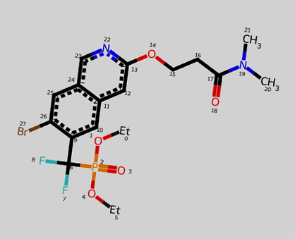 CCOP(=O)(OCC)C(F)(F)c1cc2cc(OCCC(=O)N(C)C)ncc2cc1Br